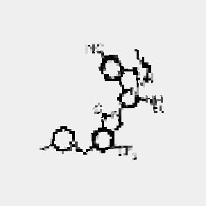 CCNc1cc(N2Cc3c(cc(CN4CCC[C@H](C)C4)cc3C(F)(F)F)C2=O)cc(-c2ccc(C#N)cc2-c2nncn2C)n1